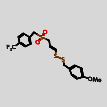 COc1ccc(CSSC=CCS(=O)(=O)Cc2ccc(C(F)(F)F)cc2)cc1